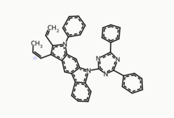 C=Cc1c(/C=C\C)c2cc3c4ccccc4n(-c4nc(-c5ccccc5)nc(-c5ccccc5)n4)c3cc2n1-c1ccccc1